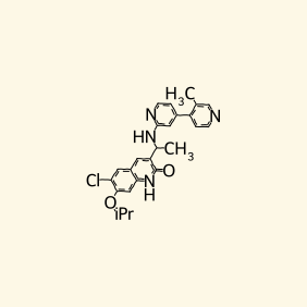 Cc1cnccc1-c1ccnc(NC(C)c2cc3cc(Cl)c(OC(C)C)cc3[nH]c2=O)c1